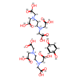 O=C(O)CN(CCN(CC(=O)O)CC(=O)O)CC(=O)O.O=C(O)CN(CCN(CC(=O)O)CC(=O)O)CC(=O)O.O=C1C=CC(=O)C=C1